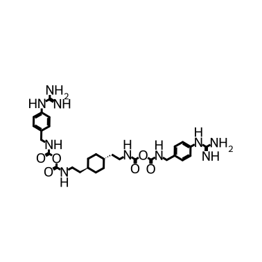 N=C(N)Nc1ccc(CNC(=O)OC(=O)NCC[C@H]2CC[C@H](CCNC(=O)OC(=O)NCc3ccc(NC(=N)N)cc3)CC2)cc1